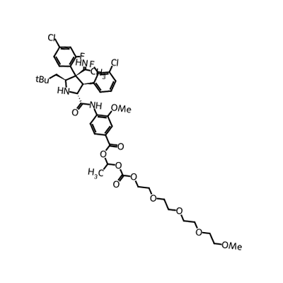 COCCOCCOCCOCCOC(=O)OC(C)OC(=O)c1ccc(NC(=O)[C@@H]2N[C@@H](CC(C)(C)C)[C@](C(C)=N)(c3ccc(Cl)cc3F)[C@H]2c2cccc(Cl)c2F)c(OC)c1